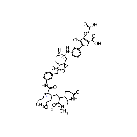 C=CCC(CC(C(=O)NC)C1CCC(=O)NC1=O)/C(=C\CCC)C(=O)Nc1cccc(CS(=O)(=O)N2CC[SiH2][C@H](Nc3cccc(C4=C(Cl)C(OCC(=O)O)=C(C(=O)O)C4)c3)CC23CC3)c1